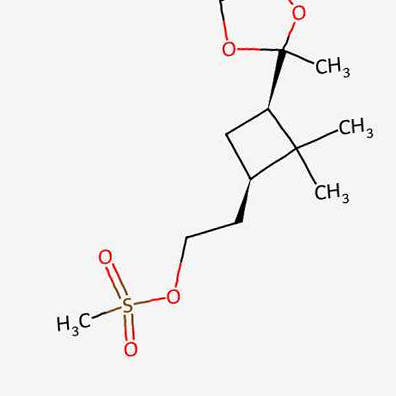 CC1([C@@H]2C[C@H](CCOS(C)(=O)=O)C2(C)C)OCCO1